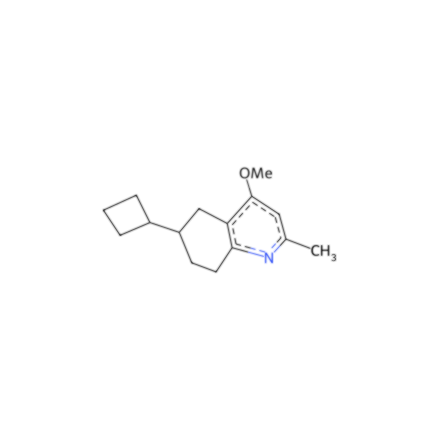 COc1cc(C)nc2c1CC(C1CCC1)CC2